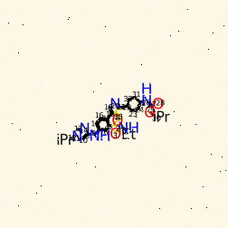 CCNS(=O)(=O)c1cc(Nc2cn(C(C)C)cn2)ccc1-c1cnc(C2CCC(NC(=O)OC(C)C)CC2)s1